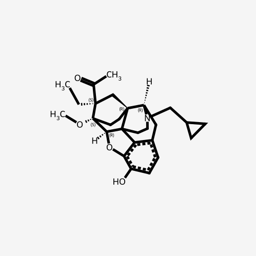 CC[C@]1(C(C)=O)C[C@]23CC[C@@]1(OC)[C@@H]1Oc4c(O)ccc5c4C12CCN(CC1CC1)[C@@H]3C5